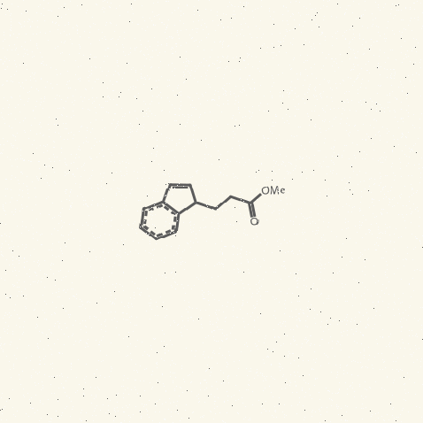 COC(=O)CCC1C=Cc2ccccc21